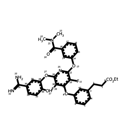 CCOC(=O)CCc1cccc(Oc2c(F)c(Oc3cccc(C(=O)N(C)C)c3)nc(Oc3cc(C(=N)N)ccc3O)c2F)c1